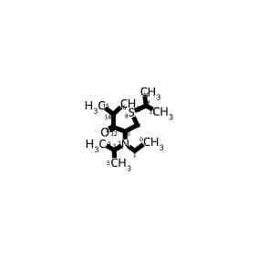 CCN(C(C)C)C(CSC(C)C)C(=O)C(C)C